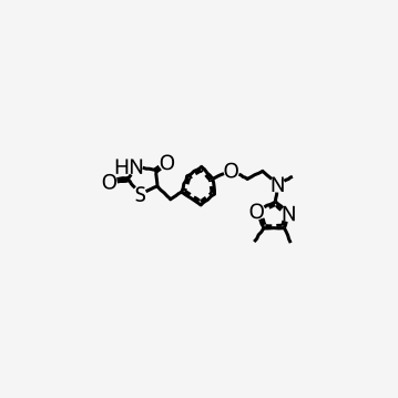 Cc1nc(N(C)CCOc2ccc(CC3SC(=O)NC3=O)cc2)oc1C